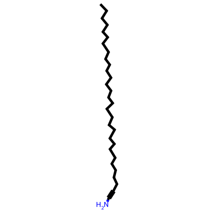 CCCCCCCCCCCCCCCCCCCCCCCCCCCCC#CN